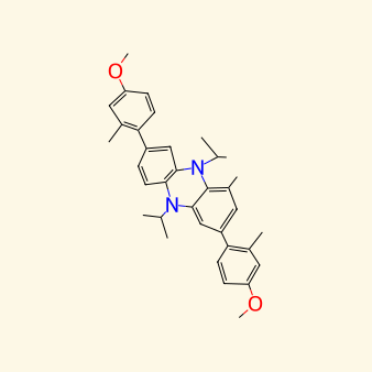 COc1ccc(-c2ccc3c(c2)N(C(C)C)c2c(C)cc(-c4ccc(OC)cc4C)cc2N3C(C)C)c(C)c1